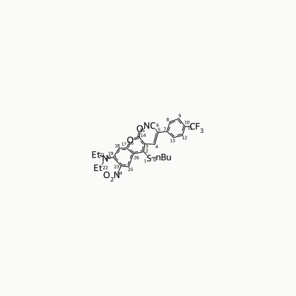 CCCCSc1c(C=C(C#N)c2ccc(C(F)(F)F)cc2)c(=O)oc2cc(N(CC)CC)c([N+](=O)[O-])cc12